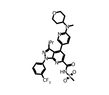 CC(C)c1nn(-c2cccc(C(F)(F)F)c2)c2nc(C(=O)NS(C)(=O)=O)cc(-c3ccc(N(C)C4CCOCC4)nc3)c12